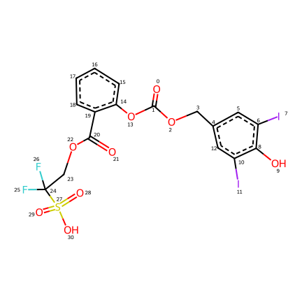 O=C(OCc1cc(I)c(O)c(I)c1)Oc1ccccc1C(=O)OCC(F)(F)S(=O)(=O)O